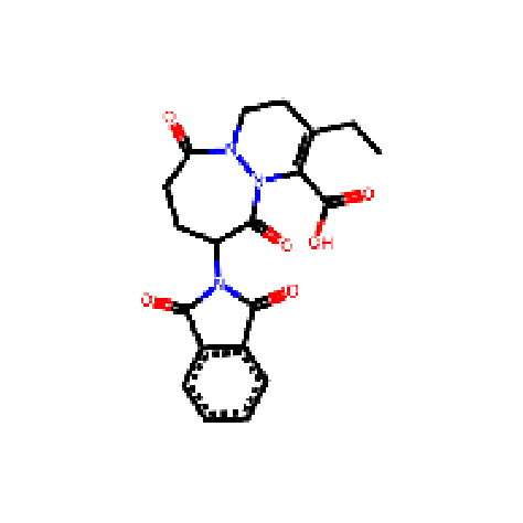 CCC1=C(C(=O)O)N2C(=O)C(N3C(=O)c4ccccc4C3=O)CCC(=O)N2CC1